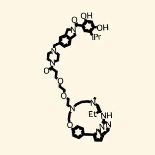 CC/C1=C\N(C)CCCN(CCOCCOCCC(=O)N2CCN(Cc3ccc4c(c3)CN(C(=O)c3cc(C(C)C)c(O)cc3O)C4)CC2)CCOc2ccc(cc2)-c2ccc3cnc(nn23)N1